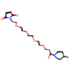 CC1CCN(C(=O)CCOCCOCCOCCOCCN2C(=O)C=CC2=O)CC1